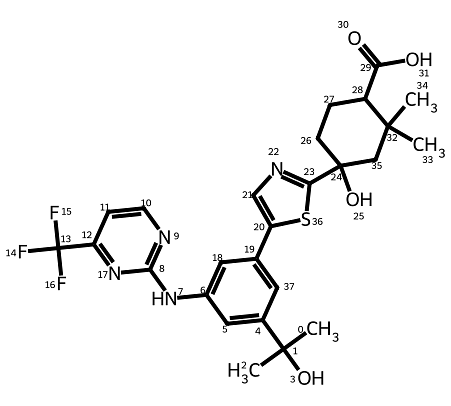 CC(C)(O)c1cc(Nc2nccc(C(F)(F)F)n2)cc(-c2cnc(C3(O)CCC(C(=O)O)C(C)(C)C3)s2)c1